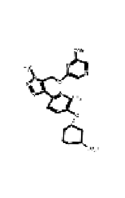 COc1cncc(OCc2c(-c3ccc(O[C@H]4CCC[C@H](C(=O)O)C4)c(C)n3)nnn2C)n1